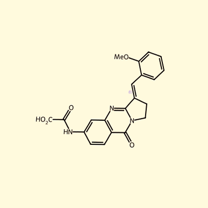 COc1ccccc1/C=C1\CCn2c1nc1cc(NC(=O)C(=O)O)ccc1c2=O